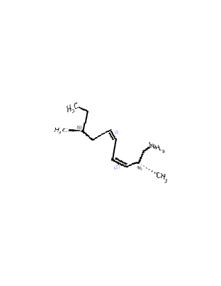 CC[C@H](C)C/C=C\C=C/[C@@H](C)CN